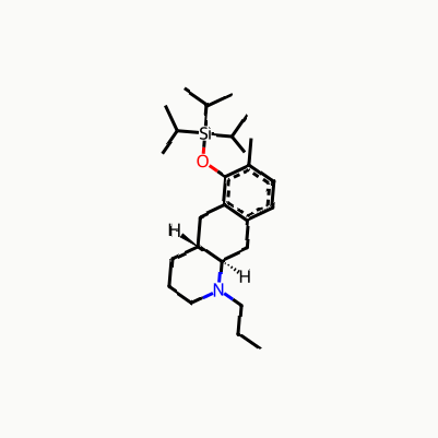 CCCN1CCC[C@@H]2Cc3c(ccc(C)c3O[Si](C(C)C)(C(C)C)C(C)C)C[C@H]21